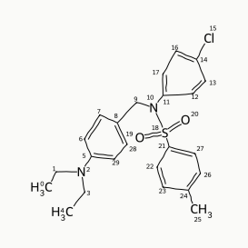 CCN(CC)c1ccc(CN(c2ccc(Cl)cc2)S(=O)(=O)c2ccc(C)cc2)cc1